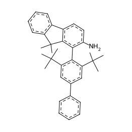 CC(C)(C)c1cc(-c2ccccc2)cc(C(C)(C)C)c1-c1c(N)ccc2c1C(C)(C)c1ccccc1-2